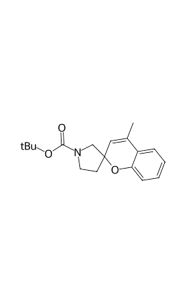 CC1=CC2(CCN(C(=O)OC(C)(C)C)C2)Oc2ccccc21